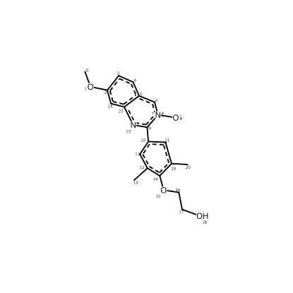 COc1ccc2c[n+]([O-])c(-c3cc(C)c(OCCO)c(C)c3)nc2c1